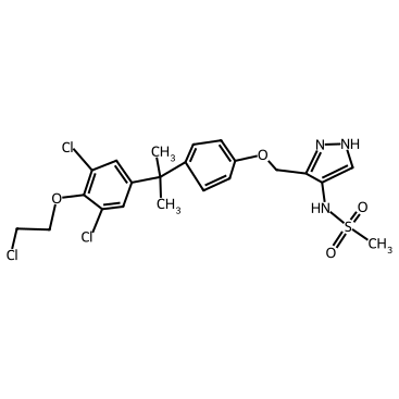 CC(C)(c1ccc(OCc2n[nH]cc2NS(C)(=O)=O)cc1)c1cc(Cl)c(OCCCl)c(Cl)c1